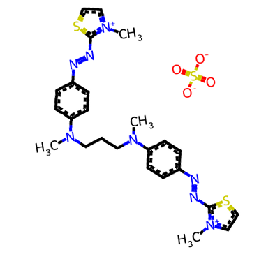 CN(CCCN(C)c1ccc(N=Nc2scc[n+]2C)cc1)c1ccc(N=Nc2scc[n+]2C)cc1.O=S(=O)([O-])[O-]